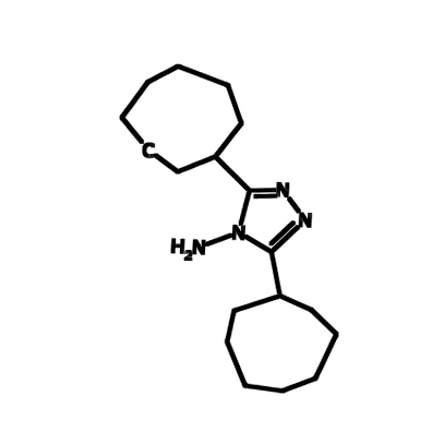 Nn1c(C2CCCCCCC2)nnc1C1CCCCCCC1